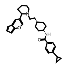 O=C(N[C@H]1CC[C@H](CCN2CCCCC2c2coc3cccc-3c2)CC1)c1ccc(C2CC2)cc1